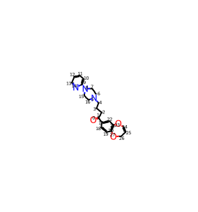 O=C(CCCN1CCN(c2ccccn2)CC1)c1ccc2c(c1)OC=CCO2